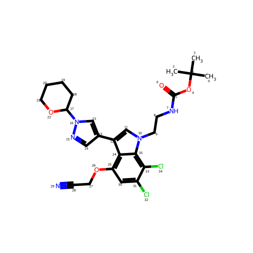 CC(C)(C)OC(=O)NCCn1cc(-c2cnn(C3CCCCO3)c2)c2c(OCC#N)cc(Cl)c(Cl)c21